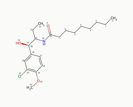 CCCCCCCCC(=O)NC(CC)[C@H](O)c1ccc(OC)c(Cl)c1